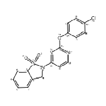 O=S1(=O)c2ccccc2CN1c1ccnc(Oc2ccc(Cl)cc2)n1